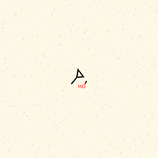 CC1CC1.CO